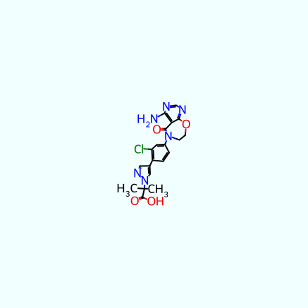 CC(C)(C(=O)O)n1cc(-c2ccc(N3CCOc4ncnc(N)c4C3=O)cc2Cl)cn1